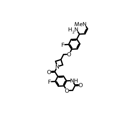 CN/C=C\C(N)c1ccc(OCC2CN(C(=O)c3cc4c(cc3F)OCC(=O)N4)C2)c(F)c1